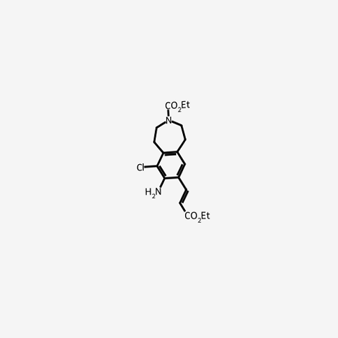 CCOC(=O)C=Cc1cc2c(c(Cl)c1N)CCN(C(=O)OCC)CC2